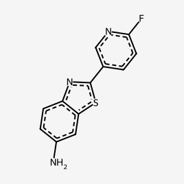 Nc1ccc2nc(-c3ccc(F)nc3)sc2c1